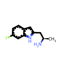 C[C@@H](N)Cc1cc2ccc(F)cc2[nH]1